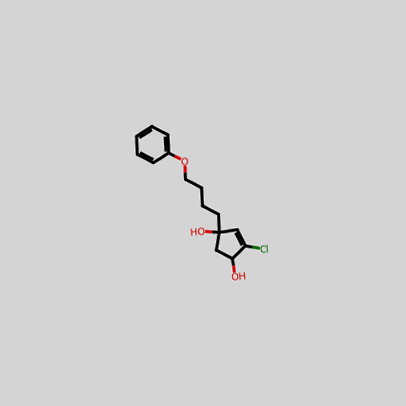 OC1CC(O)(CCCCOc2ccccc2)C=C1Cl